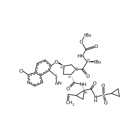 C=CC1C[C@]1(NC(=O)[C@@H]1C[C@@H](Oc2ccc3c(Cl)nccc3c2SCCC)CN1C(=O)[C@@H](NC(=O)OC(C)(C)C)C(C)(C)C)C(=O)NS(=O)(=O)C1CC1